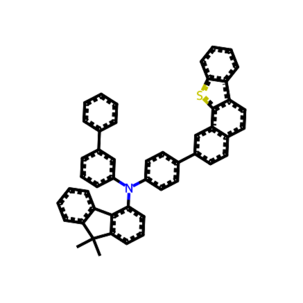 CC1(C)c2ccccc2-c2c(N(c3ccc(-c4ccc5ccc6c7ccccc7sc6c5c4)cc3)c3cccc(-c4ccccc4)c3)cccc21